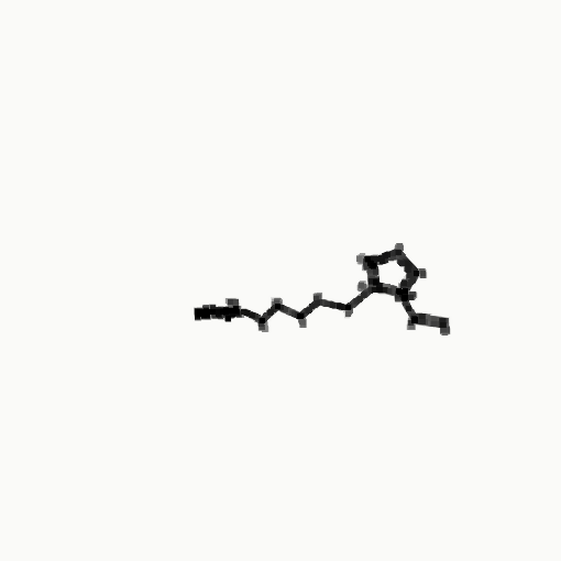 C=Cn1ccnc1CCCCCCCCCCCC